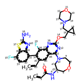 C=CC(=O)N[C@@H]1COCCN(c2nc(OCC3(CN4CCOCC4)CC3)nc3c(F)c(-c4ccc(F)c5sc(N)nc45)c(C=C)cc23)C1